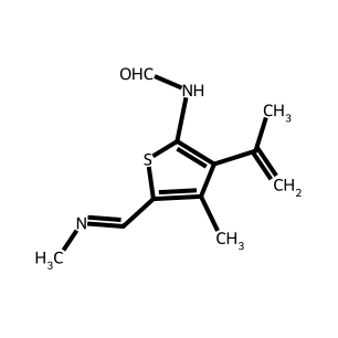 C=C(C)c1c(NC=O)sc(/C=N/C)c1C